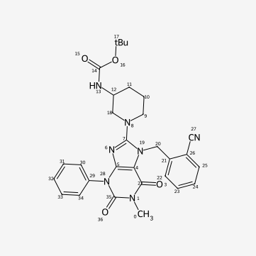 Cn1c(=O)c2c(nc(N3CCCC(NC(=O)OC(C)(C)C)C3)n2Cc2ccccc2C#N)n(-c2ccccc2)c1=O